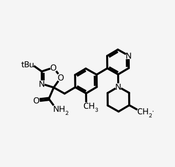 [CH2]C1CCCN(c2cnccc2-c2ccc(CC3(C(N)=O)N=C(C(C)(C)C)OO3)c(C)c2)C1